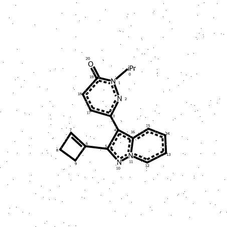 CC(C)n1nc(-c2c(C3=CCC3)nn3ccccc23)ccc1=O